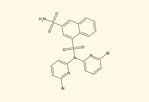 NS(=O)(=O)c1cc(S(=O)(=O)N(c2cccc(Br)n2)c2cccc(Br)n2)c2ccccc2c1